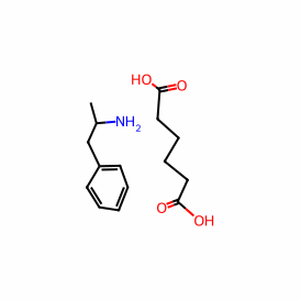 CC(N)Cc1ccccc1.O=C(O)CCCCC(=O)O